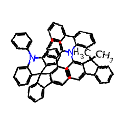 CC1(C)c2ccccc2-c2cccc(N(c3ccccc3-c3ccccc3)c3ccccc3-c3cccc4c3C3(c5ccccc5-4)c4ccccc4N(c4ccccc4)c4ccccc43)c21